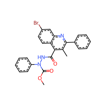 COC(=O)N(NC(=O)c1c(C)c(-c2ccccc2)nc2cc(Br)ccc12)c1ccccc1